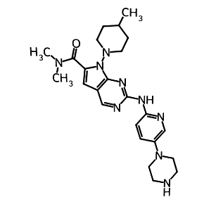 CC1CCN(n2c(C(=O)N(C)C)cc3cnc(Nc4ccc(N5CCNCC5)cn4)nc32)CC1